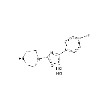 Cl.Cl.Fc1ccc(-c2csc(N3CCNCC3)n2)cc1